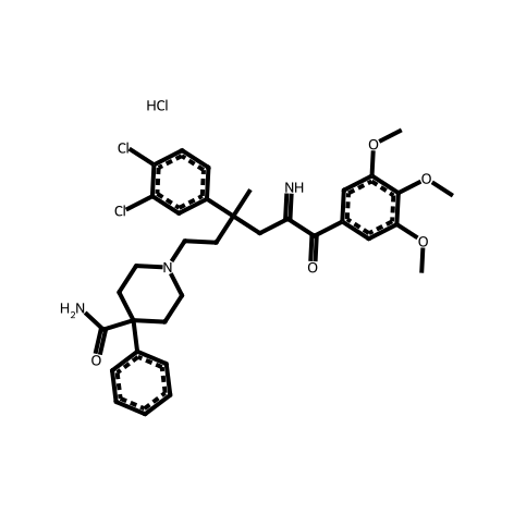 COc1cc(C(=O)C(=N)CC(C)(CCN2CCC(C(N)=O)(c3ccccc3)CC2)c2ccc(Cl)c(Cl)c2)cc(OC)c1OC.Cl